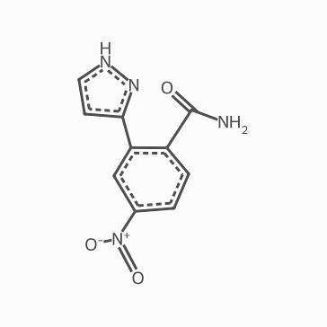 NC(=O)c1ccc([N+](=O)[O-])cc1-c1cc[nH]n1